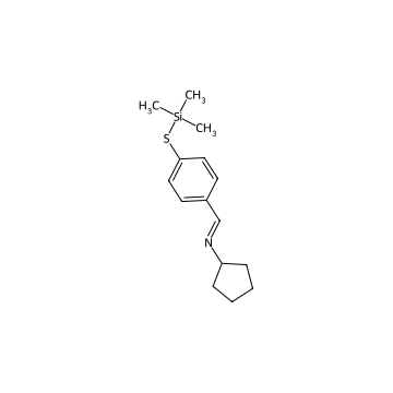 C[Si](C)(C)Sc1ccc(C=NC2CCCC2)cc1